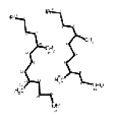 CC(C)CCCC(C)CCCC(C)CCC=O.CC(C)CCCC(C)CCCC(C)CCCO